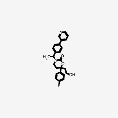 C[C@@H](c1ccc(-c2cccnc2)cc1)N1CCC(CCO)(c2ccc(F)cc2)OC1=O